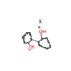 Oc1ccccc1-c1ccccc1O.[K].[K]